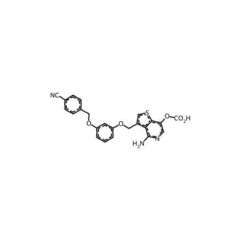 N#Cc1ccc(COc2cccc(OCc3csc4c(OC(=O)O)cnc(N)c34)c2)cc1